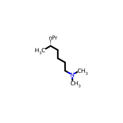 CCC[C@@H](C)CCCCN(C)C